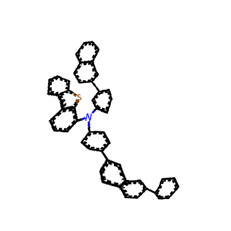 c1ccc(-c2ccc3ccc(-c4ccc(N(c5cccc(-c6ccc7ccccc7c6)c5)c5cccc6c5sc5ccccc56)cc4)cc3c2)cc1